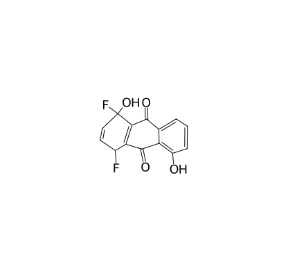 O=C1C2=C(C(=O)c3c(O)cccc31)C(F)C=CC2(O)F